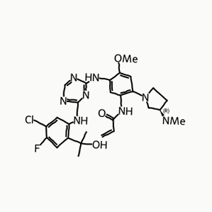 C=CC(=O)Nc1cc(Nc2ncnc(Nc3cc(Cl)c(F)cc3C(C)(C)O)n2)c(OC)cc1N1CC[C@@H](NC)C1